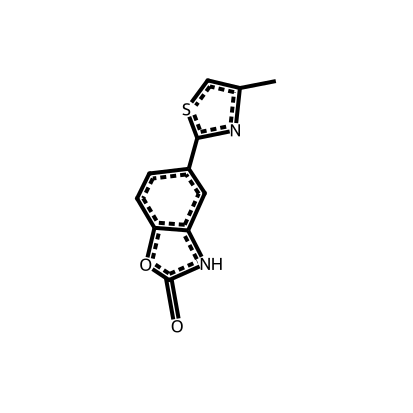 Cc1csc(-c2ccc3oc(=O)[nH]c3c2)n1